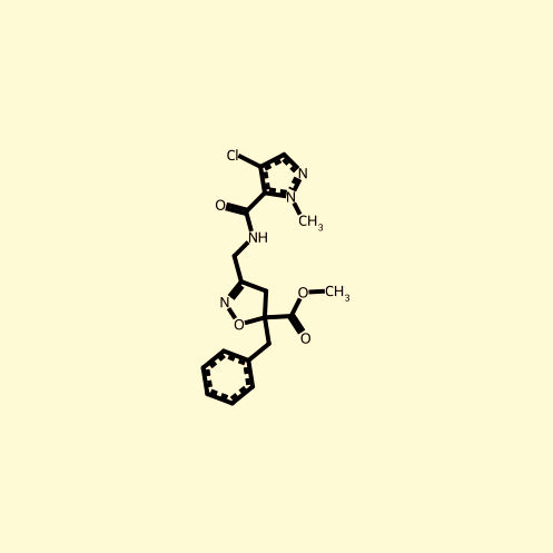 COC(=O)C1(Cc2ccccc2)CC(CNC(=O)c2c(Cl)cnn2C)=NO1